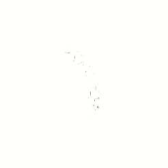 CC(=O)c1ccc(OCCCOc2ccc(C(C)(C)C)cc2)cc1